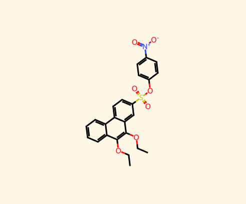 CCOc1c(OCC)c2cc(S(=O)(=O)Oc3ccc([N+](=O)[O-])cc3)ccc2c2ccccc12